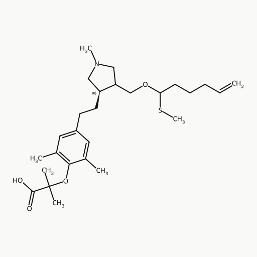 C=CCCCC(OCC1CN(C)C[C@@H]1CCc1cc(C)c(OC(C)(C)C(=O)O)c(C)c1)SC